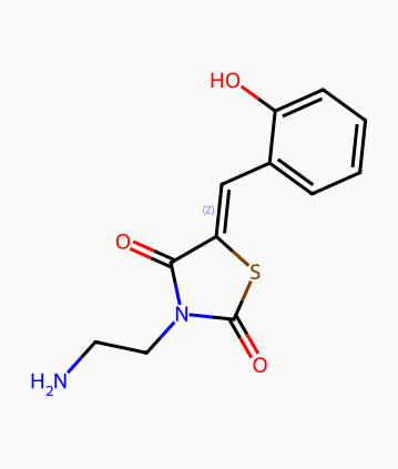 NCCN1C(=O)S/C(=C\c2ccccc2O)C1=O